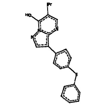 CC(C)c1cnc2c(-c3ccc(Sc4ccccc4)cc3)cnn2c1O